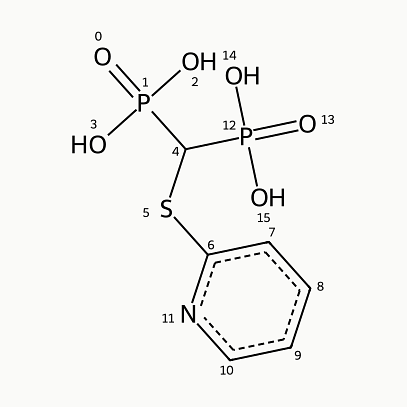 O=P(O)(O)C(Sc1ccccn1)P(=O)(O)O